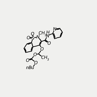 CCCCOC(=O)OC(C)OC1=C(C(=O)Nc2ccccn2)N(C)S(=O)(=O)c2ccccc21